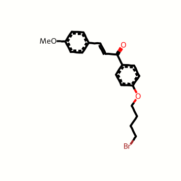 COc1ccc(C=CC(=O)c2ccc(OCCCCBr)cc2)cc1